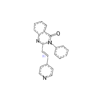 O=c1c2ccccc2nc(/C=C/c2ccncc2)n1-c1ccccc1